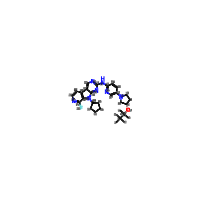 CC(C)(C)[Si](C)(C)O[C@H]1CCN(c2ccc(Nc3ncc4c5ccnc(F)c5n(C5CCCC5)c4n3)nc2)C1